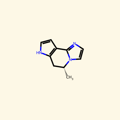 C[C@@H]1Cc2[nH]ccc2-c2nccn21